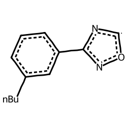 CCCCc1cccc(-c2n[c]on2)c1